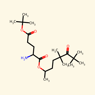 CC(CCC(C)(C)C(=O)C(C)(C)C)OC(=O)C(N)CCC(=O)OC(C)(C)C